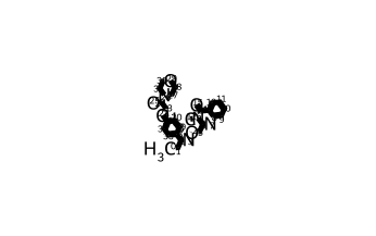 CC/C(=N/OCc1nc2ccccc2c(=O)n1C)c1ccc(OCC(=O)N2CCOCC2)cc1